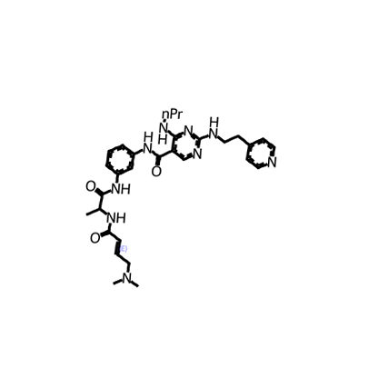 CCCNc1nc(NCCc2ccncc2)ncc1C(=O)Nc1cccc(NC(=O)C(C)NC(=O)/C=C/CN(C)C)c1